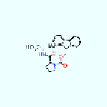 CC[C@H](C)[C@H](NC(=O)[C@@H]1CCCN1C(=O)OCC1c2ccccc2-c2ccccc21)C(=O)O